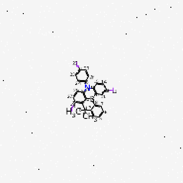 CC1(C)c2ccccc2B2c3cc(I)ccc3N(c3ccc(I)cc3)c3ccc(I)c1c32